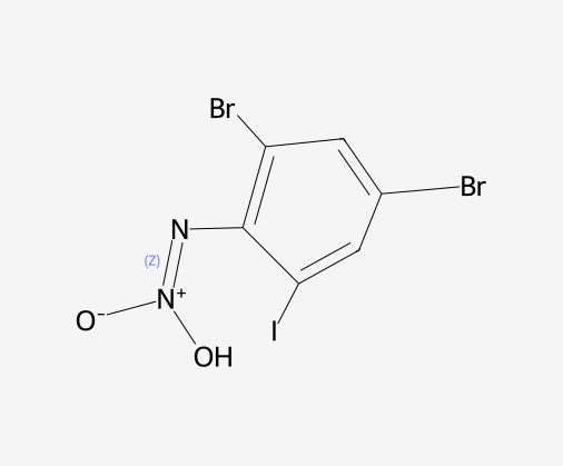 [O-]/[N+](O)=N/c1c(Br)cc(Br)cc1I